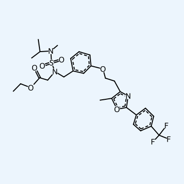 CCOC(=O)CN(Cc1cccc(OCCc2nc(-c3ccc(C(F)(F)F)cc3)oc2C)c1)S(=O)(=O)N(C)C(C)C